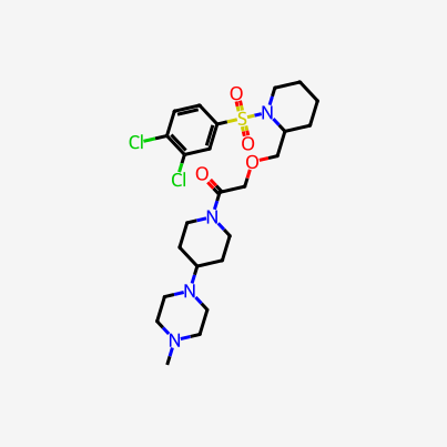 CN1CCN(C2CCN(C(=O)COCC3CCCCN3S(=O)(=O)c3ccc(Cl)c(Cl)c3)CC2)CC1